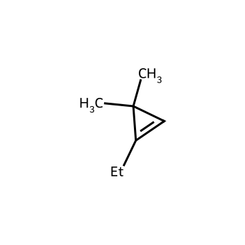 CCC1=CC1(C)C